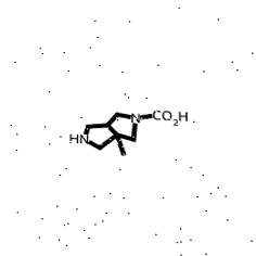 CC12CNCC1CN(C(=O)O)C2